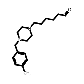 Cc1ccc(CN2CCN(CCCCC[C]=O)CC2)cc1